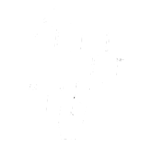 CC(OC(=O)N1C2CCC1CC(Oc1cc[nH]c(=O)c1-c1ccc(S(C)(=O)=O)cc1)C2)C(F)(F)F